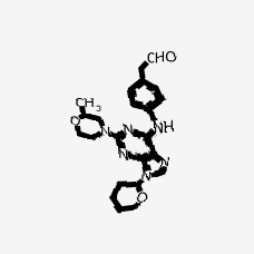 CC1CN(c2nc(Nc3ccc(CC=O)cc3)c3ncn(C4CCCCO4)c3n2)CCO1